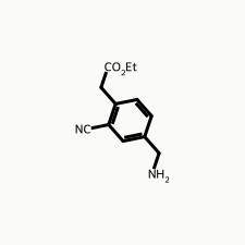 CCOC(=O)Cc1ccc(CN)cc1C#N